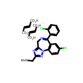 CNCc1nc2n(n1)-c1ccc(Cl)cc1C(c1ccccc1Cl)=NC2.O=C(O)/C=C/C(=O)O.O=C(O)/C=C/C(=O)O